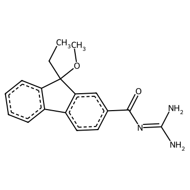 CCC1(OC)c2ccccc2-c2ccc(C(=O)N=C(N)N)cc21